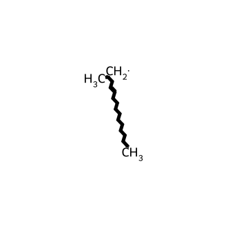 [CH2]C(C)CC=CCCCCCCCCCCC